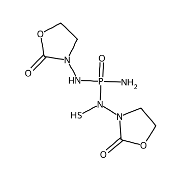 NP(=O)(NN1CCOC1=O)N(S)N1CCOC1=O